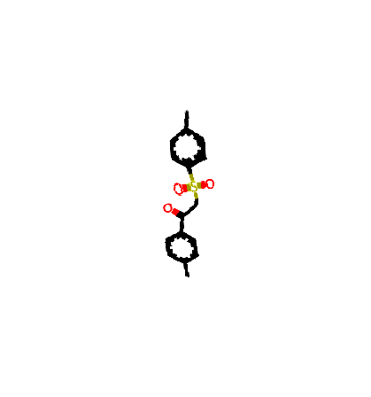 Cc1ccc(C(=O)CS(=O)(=O)c2ccc(C)cc2)cc1